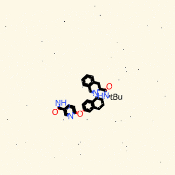 CC(C)(C)NC(=O)C1Cc2ccccc2CN1C1CCCc2cc(Oc3ccc(C(N)=O)cn3)ccc21